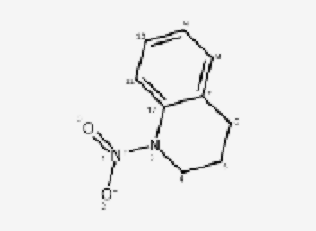 O=[N+]([O-])N1CCCc2ccccc21